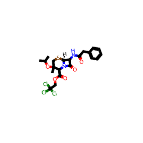 CC(C)OC1(C)CS[C@H]2C(NC(=O)Cc3ccccc3)C(=O)N2C1C(=O)OCC(Cl)(Cl)Cl